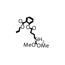 C=CCOC(=O)c1ccccc1OC(=O)CCC[SiH2]C(OC)OC